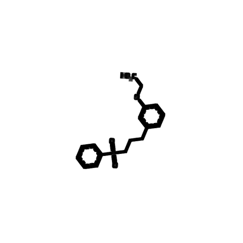 O=C(O)COc1cccc(CCCS(=O)(=O)c2ccccc2)c1